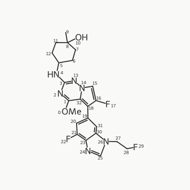 COc1nc(NC2CCC(C)(O)CC2)nn2cc(F)c(-c3cc(F)c4ncn(CCF)c4c3)c12